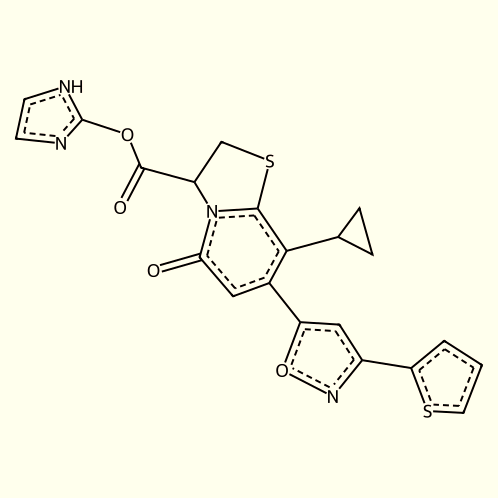 O=C(Oc1ncc[nH]1)C1CSc2c(C3CC3)c(-c3cc(-c4cccs4)no3)cc(=O)n21